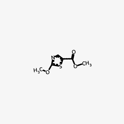 COC(=O)c1cnc(OC)s1